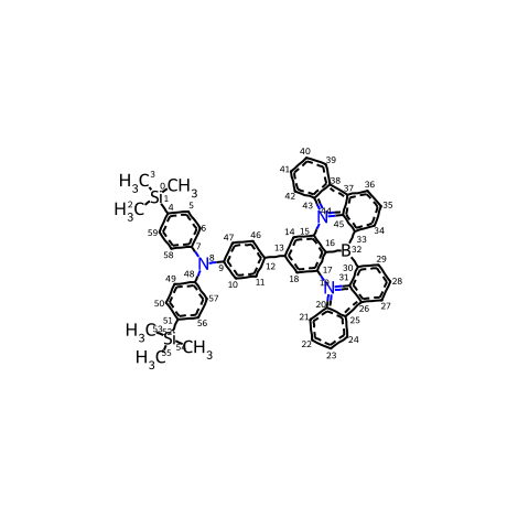 C[Si](C)(C)c1ccc(N(c2ccc(-c3cc4c5c(c3)-n3c6ccccc6c6cccc(c63)B5c3cccc5c6ccccc6n-4c35)cc2)c2ccc([Si](C)(C)C)cc2)cc1